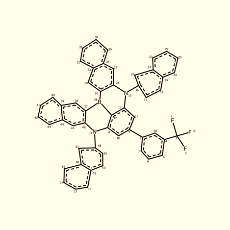 FC(F)(F)c1cccc(-c2cc3c4c(c2)N(c2ccc5ccccc5c2)c2cc5ccccc5cc2B4c2cc4ccccc4cc2N3c2ccc3ccccc3c2)c1